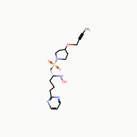 CC#CCOC1CCN(S(=O)(=O)C[C@@H](CCCc2ncccn2)NO)CC1